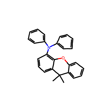 CC1(C)c2ccccc2Oc2c(N(c3ccccc3)c3ccccc3)cccc21